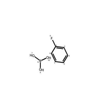 Fc1ccccc1.OB(O)O